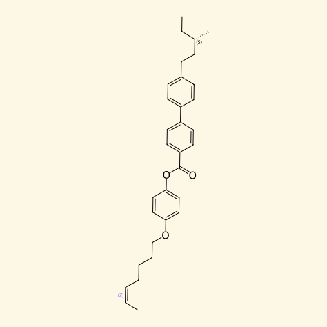 C/C=C\CCCCOc1ccc(OC(=O)c2ccc(-c3ccc(CC[C@@H](C)CC)cc3)cc2)cc1